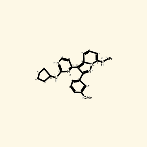 COc1cccc(-c2nn3c(NC(C)C)cccc3c2-c2ccnc(NC3CCCC3)n2)c1